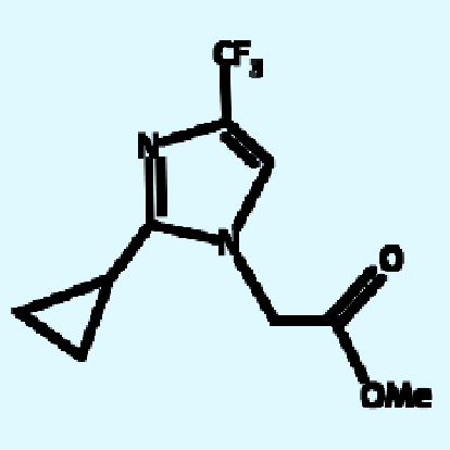 COC(=O)Cn1cc(C(F)(F)F)nc1C1CC1